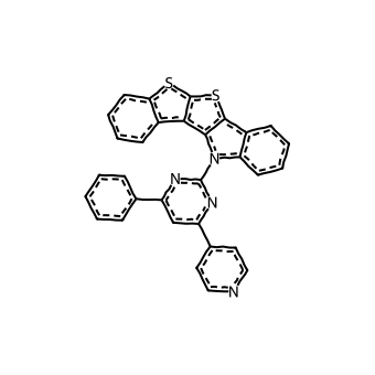 c1ccc(-c2cc(-c3ccncc3)nc(-n3c4ccccc4c4sc5sc6ccccc6c5c43)n2)cc1